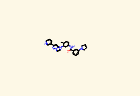 Cc1ccc(NC(=O)c2cccc(N3CCCC3)c2)cc1-n1ccn2nc(-c3cccnc3)cc12